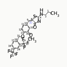 CCCNC1=NC(=O)/C(=C\c2ccc(OCc3ccc(C(F)(F)F)cc3C(F)(F)F)c(OC)c2)S1